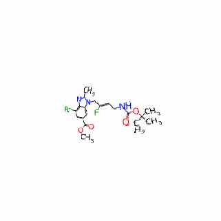 COC(=O)c1cc(Br)c2nc(C)n(C/C(F)=C/CNC(=O)OC(C)(C)C)c2c1